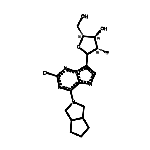 OC[C@H]1OC(c2cnc3c(N4CC5CCCC5C4)nc(Cl)nn23)[C@@H](F)[C@@H]1O